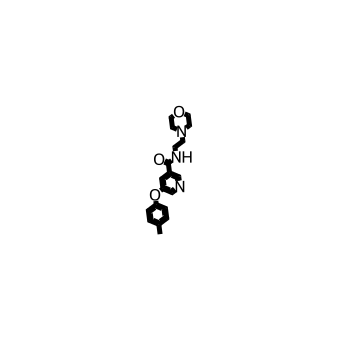 Cc1ccc(Oc2cncc(C(=O)NCCN3CCOCC3)c2)cc1